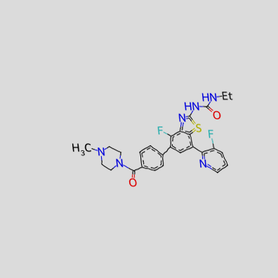 CCNC(=O)Nc1nc2c(F)c(-c3ccc(C(=O)N4CCN(C)CC4)cc3)cc(-c3ncccc3F)c2s1